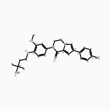 COc1cc(N2CCn3cc(-c4ccc(Cl)cc4)cc3C2=O)ccc1OCCC(C)(C)O